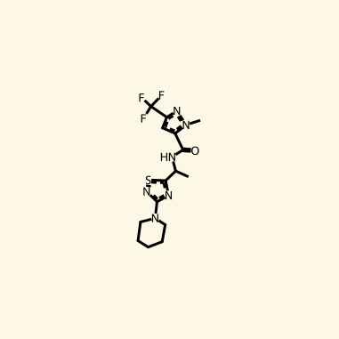 CC(NC(=O)c1cc(C(F)(F)F)nn1C)c1nc(N2CCCCC2)ns1